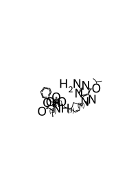 CC(C)Oc1nc(N)nc2c1ncn2[C@H]1C=C[C@@H](CO[P@@](=O)(N[C@@H](C)C(=O)O)Oc2ccccc2)C1